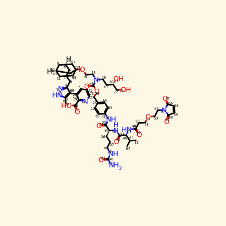 Cc1[nH]nc(CC23C[C@H]4C[C@@H](C2)CC(OCCN(CC[C@H](O)CO)C(=O)OCc2ccc(NC(=O)[C@H](CCCNC(N)=O)NC(=O)[C@@H](NC(=O)CCOCCN5C(=O)C=CC5=O)C(C)C)cc2)(C4)C3)c1-c1cccnc1C(=O)O